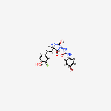 CC1(CCc2ccc(O)c(F)c2)NC(=O)N(NC(=O)Nc2ccc(Br)cc2)C1=O